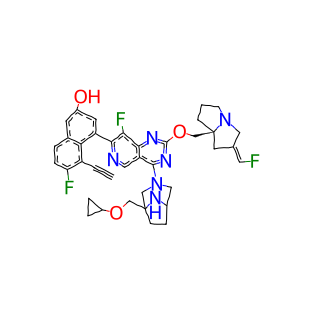 C#Cc1c(F)ccc2cc(O)cc(-c3ncc4c(N5CC6CCC(COC7CC7)(C5)N6)nc(OC[C@@]56CCCN5C/C(=C\F)C6)nc4c3F)c12